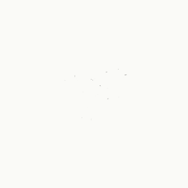 CCCC(O)(C(Nc1ccccc1)c1ccccc1)C(F)(F)F